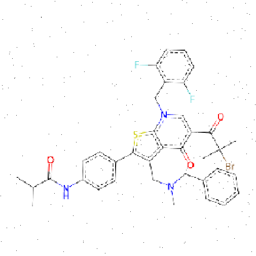 CC(C)C(=O)Nc1ccc(-c2sc3c(c2CN(C)Cc2ccccc2)c(=O)c(C(=O)C(C)(C)Br)cn3Cc2c(F)cccc2F)cc1